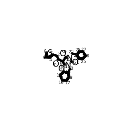 O=C(Cc1cccs1)C1C(=O)N(Cc2ccccc2)C(=O)N(Cc2ccccc2)C1=O